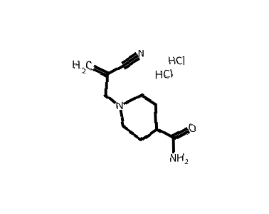 C=C(C#N)CN1CCC(C(N)=O)CC1.Cl.Cl